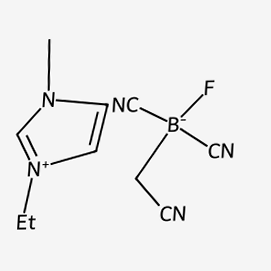 CC[n+]1ccn(C)c1.N#CC[B-](F)(C#N)C#N